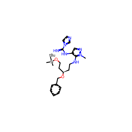 Cn1ncc(NC(=N)n2ccnc2)c1NCC[C@H](CCO[Si](C)(C)C(C)(C)C)OCc1ccccc1